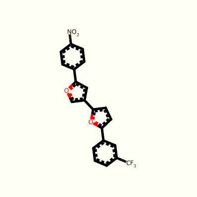 O=[N+]([O-])c1ccc(-c2cc(-c3ccc(-c4cccc(C(F)(F)F)c4)o3)[c]o2)cc1